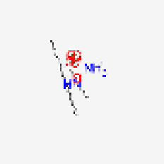 CCCCCCCCCCCCCCCCCCCCCC.CCCCCNOCCCC(C)(C)OS(=O)(=O)OC.N